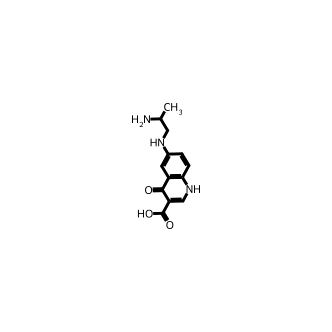 CC(N)CNc1ccc2[nH]cc(C(=O)O)c(=O)c2c1